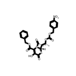 C[C@@H](OC(=O)OCc1ccc([N+](=O)[O-])cc1)[C@H]1C(=O)N2C(C(=O)OCc3ccccc3)=C(O)C(=O)S[C@@H]12